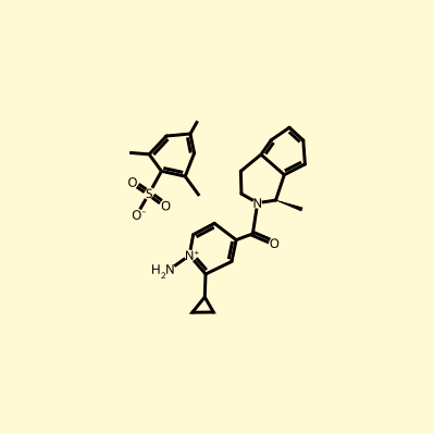 C[C@@H]1c2ccccc2CCN1C(=O)c1cc[n+](N)c(C2CC2)c1.Cc1cc(C)c(S(=O)(=O)[O-])c(C)c1